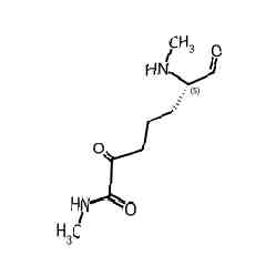 CNC(=O)C(=O)CCC[C@@H](C=O)NC